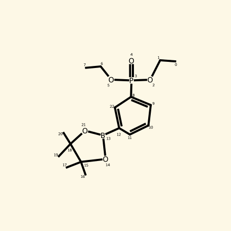 CCOP(=O)(OCC)c1cccc(B2OC(C)(C)C(C)(C)O2)c1